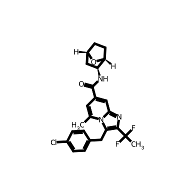 Cc1cc(C(=O)N[C@H]2C[C@@H]3CC[C@H]2O3)cc2nc(C(C)(F)F)c(Cc3ccc(Cl)cc3)n12